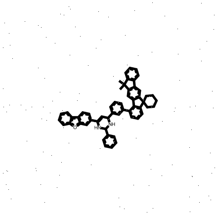 CC1(C)c2ccccc2-c2cc3c(cc21)-c1c(-c2cccc(C4C=C(c5ccc6c(c5)oc5ccccc56)NC(c5ccccc5)N4)c2)cccc1C31CCCCC1